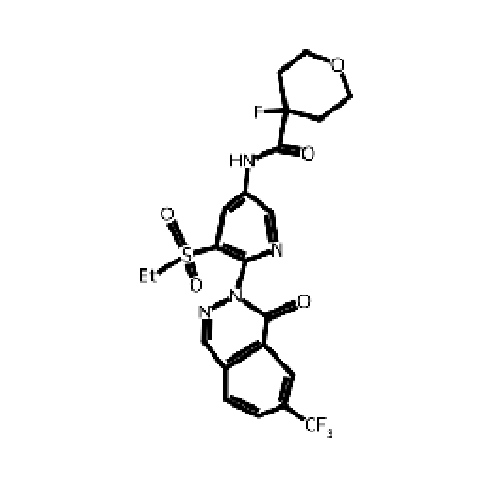 CCS(=O)(=O)c1cc(NC(=O)C2(F)CCOCC2)cnc1-n1ncc2ccc(C(F)(F)F)cc2c1=O